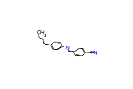 CCCCc1ccc(/N=C/c2ccc(C#N)cc2)cc1